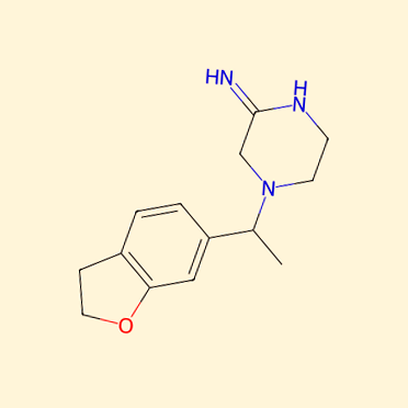 CC(c1ccc2c(c1)OCC2)N1CCNC(=N)C1